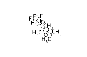 CCC(C)C(=O)OC(C)(CC)CC(=O)OC(C(F)(F)F)C(F)(F)F